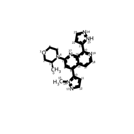 C[C@H]1COCCN1c1cc(-c2ccnn2C)c2ccnc(-c3ccn[nH]3)c2n1